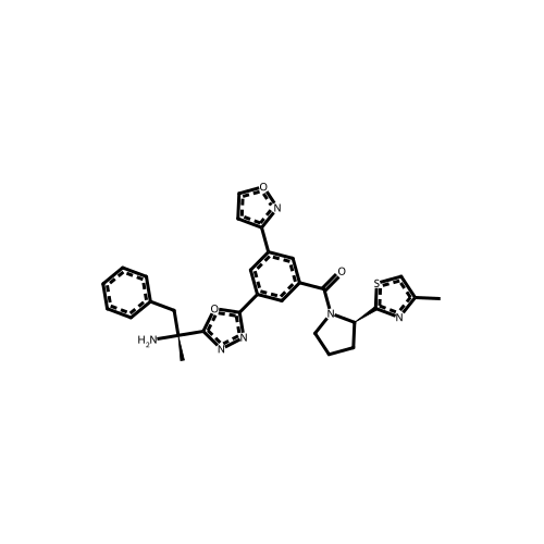 Cc1csc([C@H]2CCCN2C(=O)c2cc(-c3ccon3)cc(-c3nnc([C@](C)(N)Cc4ccccc4)o3)c2)n1